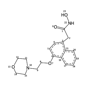 O=C(Cc1ccc(OCCN2CCOCC2)c2ccccc12)NO